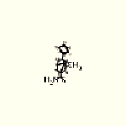 CC12CC3CC(C(N)=S)(C1)CC(c1ccccc1)(C3)C2